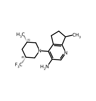 CC1CCc2c1ncc(N)c2N1C[C@@H](C)C[C@@H](C(F)(F)F)C1